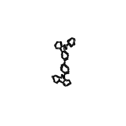 c1ccc(-n2c3ccccc3c3cc(-c4ccc(-n5c6ccccc6c6ccccc65)cc4)ccc32)cc1